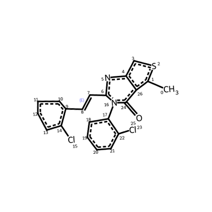 Cc1scc2nc(/C=C/c3ccccc3Cl)n(-c3ccccc3Cl)c(=O)c12